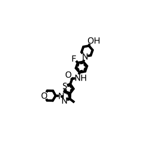 Cc1nn(C2CCOCC2)c2sc(C(=O)Nc3ccc(N4CCC(O)CC4)c(F)c3)cc12